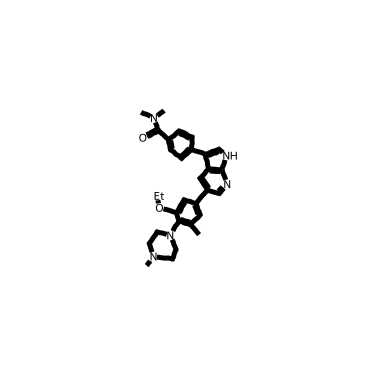 CCOc1cc(-c2cnc3[nH]cc(-c4ccc(C(=O)N(C)C)cc4)c3c2)cc(C)c1N1CCN(C)CC1